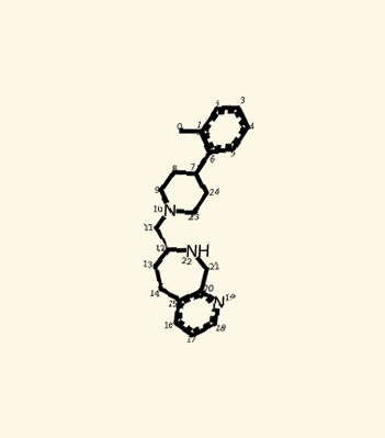 Cc1ccccc1C1CCN(C[C@@H]2CCc3cccnc3CN2)CC1